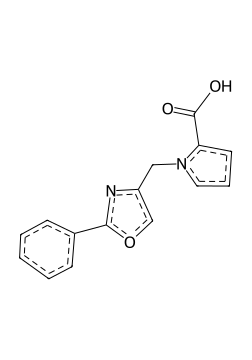 O=C(O)c1cccn1Cc1coc(-c2ccccc2)n1